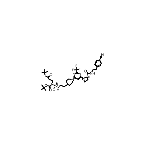 CC(C)(C)OC(=O)CCN(C(=O)OC(C)(C)C)S(=O)(=O)NCCC1CCN(c2cc(N3CC[C@H]3C(=O)NCCc3ccc(C#N)cc3)nc(C(F)(F)F)n2)CC1